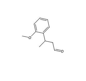 COc1ccccc1C(C)CC=O